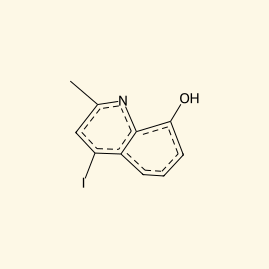 Cc1cc(I)c2cccc(O)c2n1